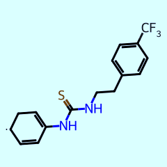 FC(F)(F)c1ccc(CCNC(=S)NC2=CC[CH]C=C2)cc1